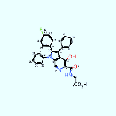 O=C(O)CNC(=O)c1ncc2c(c1O)c(-c1ccccc1)c(-c1ccc(F)cc1)n2-c1ccccc1